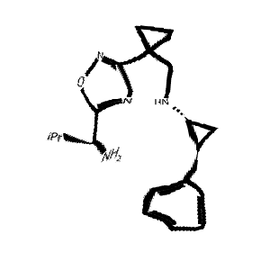 CC(C)[C@H](N)c1nc(C2(CN[C@@H]3C[C@H]3c3ccccc3)CC2)no1